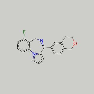 Fc1cccc2c1CN=C(c1ccc3c(c1)CCOC3)c1cccn1-2